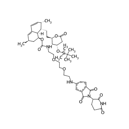 C[C@H]1C=C2C=C[C@H](C)[C@H](CC[C@@H]3C[C@@H](O[Si](C)(C)C(C)(C)C)CC(=O)O3)[C@H]2[C@@H](OC(=O)NCCOCCOCCNc2ccc3c(c2)C(=O)N(C2CCC(=O)NC2=O)C3=O)C1